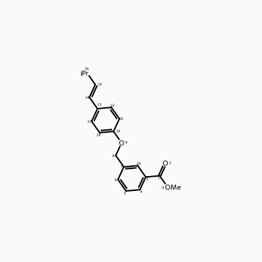 COC(=O)c1cccc(COc2ccc(/C=C/C(C)C)cc2)c1